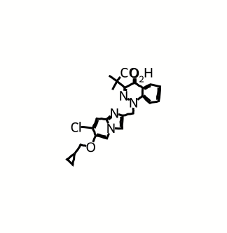 CC(C)(C(=O)O)c1nn(Cc2cn3cc(OCC4CC4)c(Cl)cc3n2)c2ccccc2c1=O